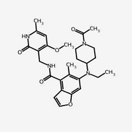 CCN(c1cc2occc2c(C(=O)NCc2c(OC)cc(C)[nH]c2=O)c1C)C1CCN(C(C)=O)CC1